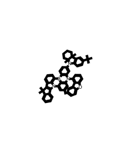 Cc1cc2c3c(c1)-n1c4c(c5cccc(c51)B3c1ccc(N3c5ccc(C(C)(C)C)cc5C5(C)CCCCC35C)cc1N2c1cccc2oc3ccccc3c12)C(C)(C)c1ccccc1-4